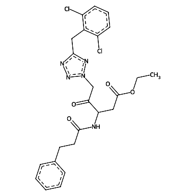 CCOC(=O)CC(NC(=O)CCc1ccccc1)C(=O)Cn1nnc(Cc2c(Cl)cccc2Cl)n1